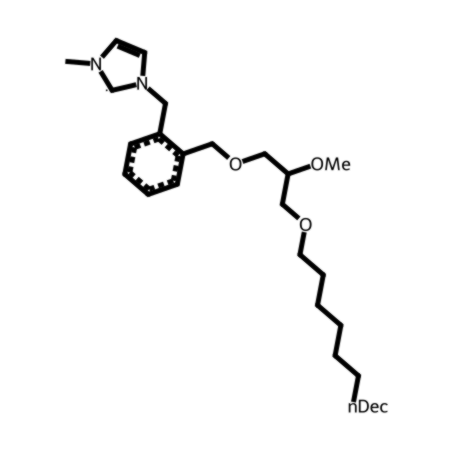 CCCCCCCCCCCCCCCCOCC(COCc1ccccc1CN1[CH]N(C)C=C1)OC